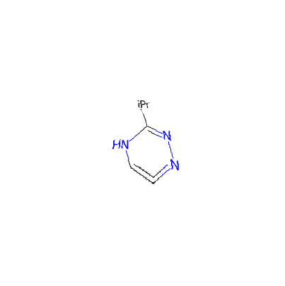 CC(C)C1=NN=C=CN1